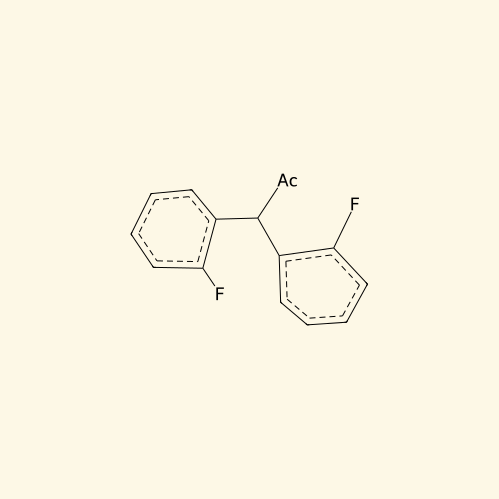 CC(=O)C(c1ccccc1F)c1ccccc1F